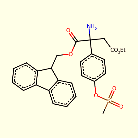 CCOC(=O)CC(N)(C(=O)OCC1c2ccccc2-c2ccccc21)c1ccc(OS(C)(=O)=O)cc1